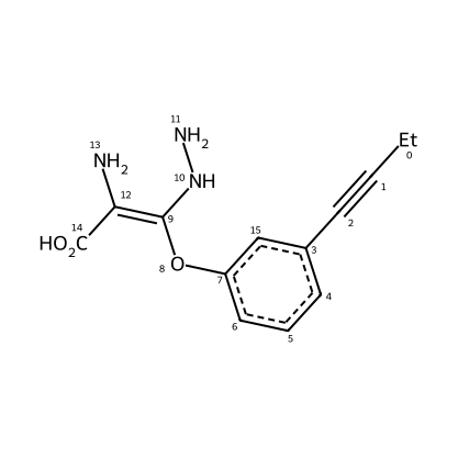 CCC#Cc1cccc(O/C(NN)=C(/N)C(=O)O)c1